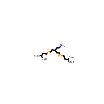 COC(CCPCCC(CCN)CCPCCC(OC)OC)OC